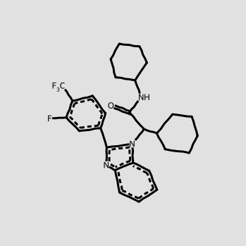 O=C(NC1CCCCC1)C(C1CCCCC1)n1c(-c2ccc(C(F)(F)F)c(F)c2)nc2ccccc21